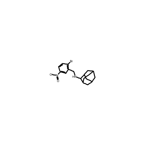 O=[N+]([O-])c1ccc(Br)c(CNC2C3CC4CC(C3)CC2C4)c1